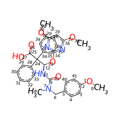 COc1ccc(CN(C)C(=O)N[C@H](Oc2nc(OC)cc(OC)n2)C(C(=O)O)(c2ccccc2)c2ccccc2)cc1